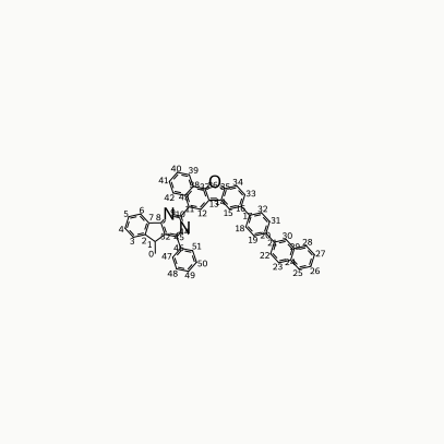 CC1c2ccccc2-c2nc(-c3cc4c5cc(-c6ccc(-c7ccc8ccccc8c7)cc6)ccc5oc4c4ccccc34)nc(-c3ccccc3)c21